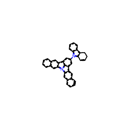 c1ccc2cc3c(cc2c#1)c1cc(-n2c4c(c5ccccc52)CCC=C4)cc2c4cc5ccccc5cc4n3c12